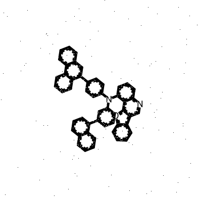 c1cc(-c2cccc3ccccc23)cc(N(c2ccc(-c3cc4ccccc4c4ccccc34)cc2)c2cccc3ncc4c5ccccc5oc4c23)c1